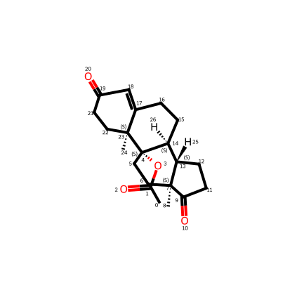 CC(=O)O[C@@]12CC[C@]3(C)C(=O)CC[C@H]3[C@@H]1CCC1=CC(=O)CC[C@@]12C